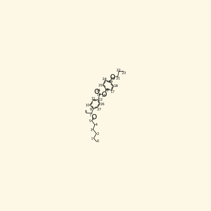 CCCCCCOC(C)c1ccc(C(=O)Oc2ccc(OCCC)cc2)cc1